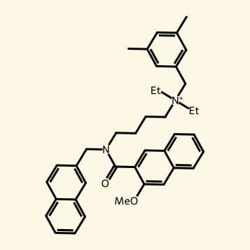 CC[N+](CC)(CCCCN(Cc1ccc2ccccc2c1)C(=O)c1cc2ccccc2cc1OC)Cc1cc(C)cc(C)c1